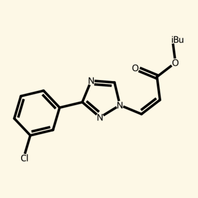 CCC(C)OC(=O)/C=C\n1cnc(-c2cccc(Cl)c2)n1